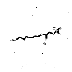 CCCCCCCCCCCCCCCCOC(=O)CCS(=O)(=O)[O-].[Na+]